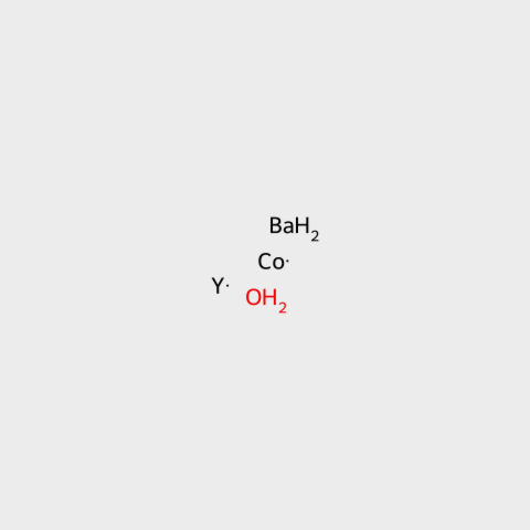 O.[BaH2].[Co].[Y]